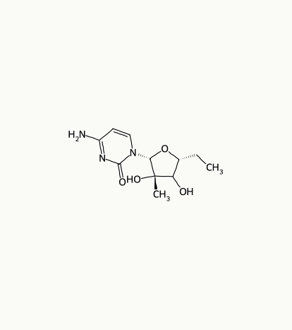 CC[C@H]1O[C@@H](n2ccc(N)nc2=O)[C@@](C)(O)C1O